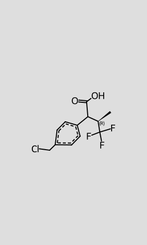 C[C@H](C(C(=O)O)c1ccc(CCl)cc1)C(F)(F)F